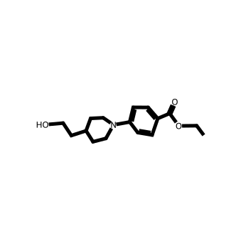 CCOC(=O)c1ccc(N2CCC(CCO)CC2)cc1